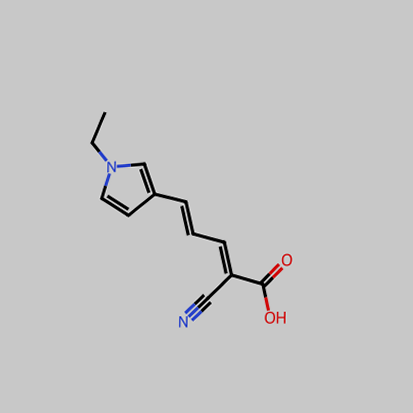 CCn1ccc(/C=C/C=C(\C#N)C(=O)O)c1